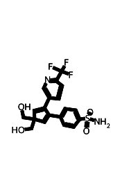 NS(=O)(=O)c1ccc(C2=CC(CO)(CO)C=C2c2ccc(C(F)(F)F)nc2)cc1